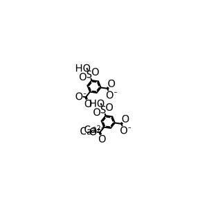 O=C([O-])c1cc(C(=O)[O-])cc(S(=O)(=O)O)c1.O=C([O-])c1cc(C(=O)[O-])cc(S(=O)(=O)O)c1.[Ca+2].[Ca+2]